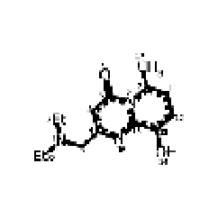 CCN(CC)Cc1cc(=O)n2c(C)ccc(O)c2n1